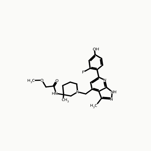 COCC(=O)NC1(C)CCCN(Cc2cc(-c3ccc(O)cc3F)nc3[nH]nc(C)c23)C1